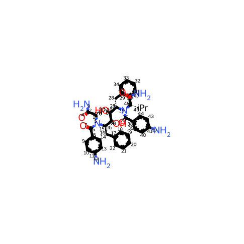 CC(C)[C@@H](C(N)=O)N(C(=O)c1ccc(N)cc1)[C@H](Cc1ccccc1)[C@H](O)[C@H](O)[C@H](Cc1ccccc1)N(C(=O)c1ccc(N)cc1)[C@H](C(N)=O)C(C)C